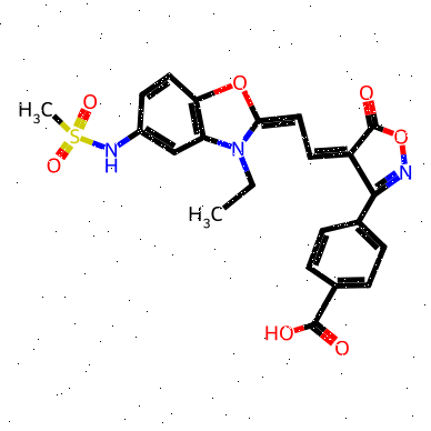 CCN1C(=C/C=C2\C(=O)ON=C2c2ccc(C(=O)O)cc2)Oc2ccc(NS(C)(=O)=O)cc21